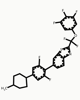 CC1CCC(c2cc(F)c(-c3ccc4nc(C(F)(F)Oc5cc(F)c(F)c(F)c5)sc4c3)c(F)c2)CC1